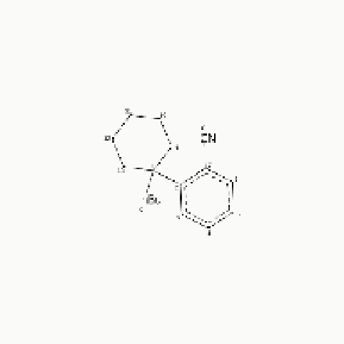 CCCCC1(c2ccccc2C#N)CCCCC1